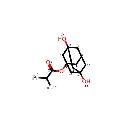 CC(C)C(C(=O)OC12CC3CC(O)(CC(O)(C3)C1)C2)C(C)C